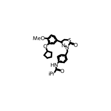 COc1ccc(C2=NN(Cc3ccc(NC(=O)C(C)C)cc3)C(=O)SC2)cc1OC1CCCC1